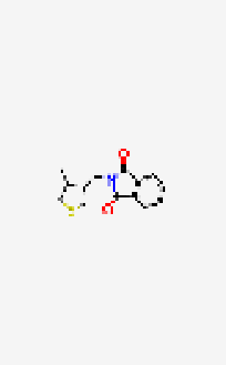 CC1CSCC1CN1C(=O)c2ccccc2C1=O